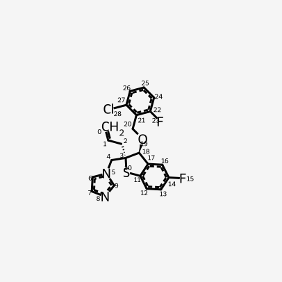 C=CC[C@@]1(Cn2ccnc2)Sc2ccc(F)cc2[C@@H]1OCc1c(F)cccc1Cl